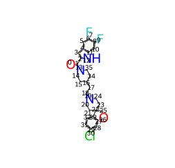 O=C(c1cc2cc(F)c(F)cc2[nH]1)N1CCC(CCN2CCC3(CC2)COc2cc(Cl)ccc23)CC1